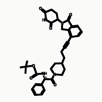 CC(C)(C)OC(=O)N[C@H](C(=O)N1CCC(CCC#Cc2cccc3c2CN(C2CCC(=O)NC2=O)C3=O)CC1)c1ccccc1